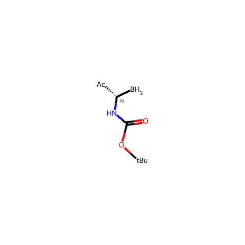 B[C@H](NC(=O)OC(C)(C)C)C(C)=O